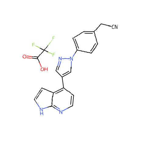 N#CCc1ccc(-n2cc(-c3ccnc4[nH]ccc34)cn2)cc1.O=C(O)C(F)(F)F